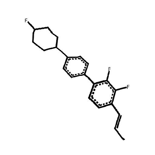 CC=Cc1ccc(-c2ccc(C3CCC(F)CC3)cc2)c(F)c1F